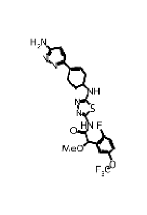 COC(C(=O)Nc1nnc(NC2CC=C(c3ccc(N)nn3)CC2)s1)c1cc(OC(F)(F)F)ccc1F